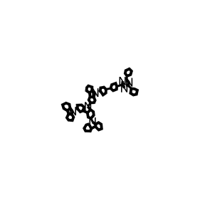 c1ccc(-c2nc(-c3ccccc3)nc(-c3ccc(-c4ccc(-n5c6ccccc6c6cc(-n7c8ccc(-n9c%10ccccc%10c%10ccccc%109)cc8c8cc(-n9c%10ccccc%10c%10ccccc%109)ccc87)ccc65)cc4)cc3)n2)cc1